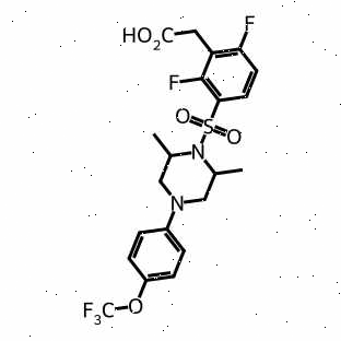 CC1CN(c2ccc(OC(F)(F)F)cc2)CC(C)N1S(=O)(=O)c1ccc(F)c(CC(=O)O)c1F